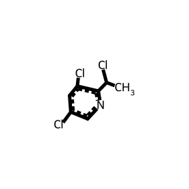 CC(Cl)c1ncc(Cl)cc1Cl